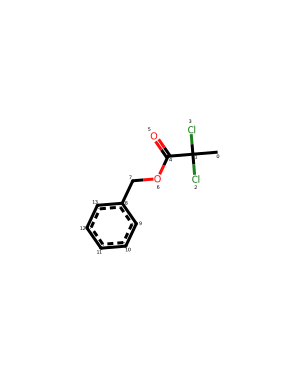 CC(Cl)(Cl)C(=O)OCc1ccccc1